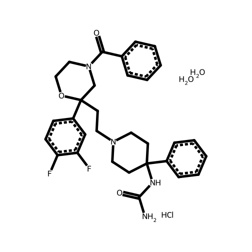 Cl.NC(=O)NC1(c2ccccc2)CCN(CCC2(c3ccc(F)c(F)c3)CN(C(=O)c3ccccc3)CCO2)CC1.O.O